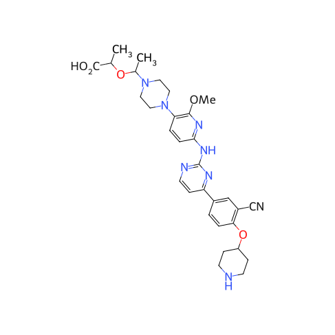 COc1nc(Nc2nccc(-c3ccc(OC4CCNCC4)c(C#N)c3)n2)ccc1N1CCN(C(C)OC(C)C(=O)O)CC1